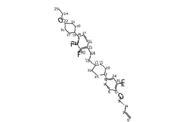 C=CCCOc1ccc(C2CCC(CCc3ccc(C4CCC(OCC)CC4)c(F)c3F)CC2)cc1F